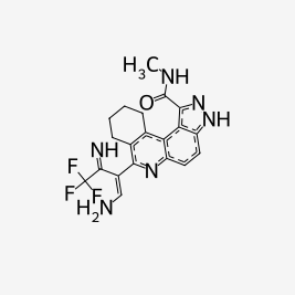 CNC(=O)c1n[nH]c2ccc3nc(/C(=C/N)C(=N)C(F)(F)F)c4c(c3c12)CCCC4